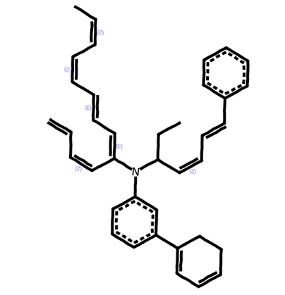 C=C\C=C/C(=C\C=C\C=C/C=C\C)N(c1cccc(C2=CC=CCC2)c1)C(/C=C\C=Cc1ccccc1)CC